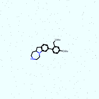 COCc1cc(OC)ccc1-c1ccc2c(c1)N1CCNCCC1C2